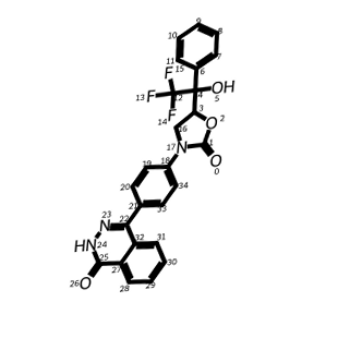 O=C1OC(C(O)(c2ccccc2)C(F)(F)F)CN1c1ccc(-c2n[nH]c(=O)c3ccccc23)cc1